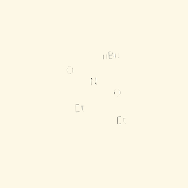 CCCC[N+]([O-])(CC)OCC